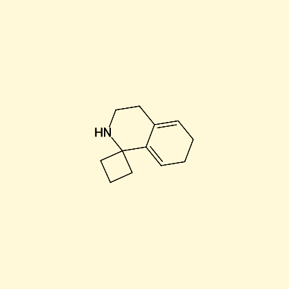 C1=C2CCNC3(CCC3)C2=CCC1